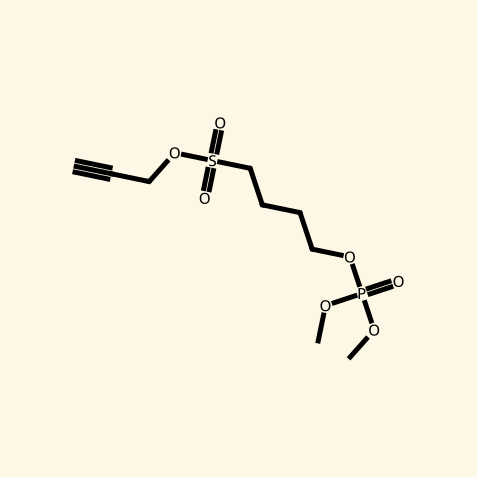 C#CCOS(=O)(=O)CCCCOP(=O)(OC)OC